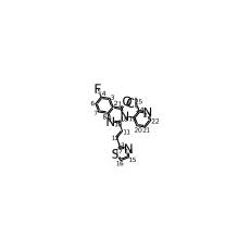 O=c1c2cc(F)ccc2nc(C=Cc2nccs2)n1-c1cccnc1Cl